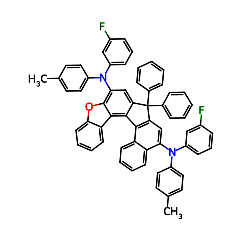 Cc1ccc(N(c2cccc(F)c2)c2cc3c(c4ccccc24)-c2c(cc(N(c4ccc(C)cc4)c4cccc(F)c4)c4oc5ccccc5c24)C3(c2ccccc2)c2ccccc2)cc1